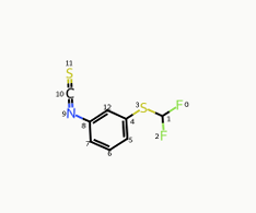 FC(F)Sc1cccc(N=C=S)c1